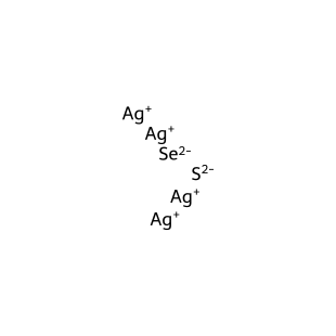 [Ag+].[Ag+].[Ag+].[Ag+].[S-2].[Se-2]